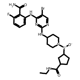 CCNC(=O)C1CCC([S+]([O-])N2CCC(Nc3ncc(Br)c(Nc4cccc(F)c4C(N)=O)n3)CC2)C1